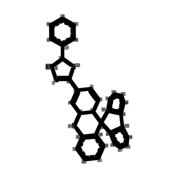 C1=CC2C(C=C1C1=NNC(c3ccccc3)S1)Oc1ccccc1C21c2ccccc2-c2ccccc21